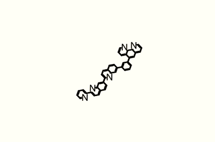 c1ccc(-c2ccc3ccc(-c4ccc5ccc(-c6cccc(-c7cc8cccnc8c8ncccc78)c6)cc5n4)cc3n2)nc1